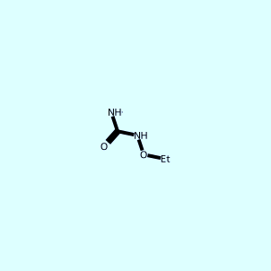 CCONC([NH])=O